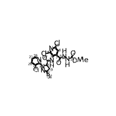 COC(=O)NNC(=O)c1cc(Cl)nc(Cl)c1NC(=O)C1CC(Br)=NN1c1ncccc1Cl